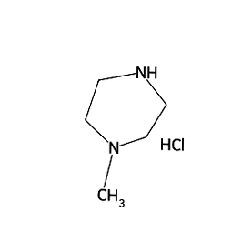 CN1CCNCC1.Cl